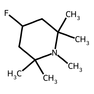 CN1C(C)(C)CC(F)CC1(C)C